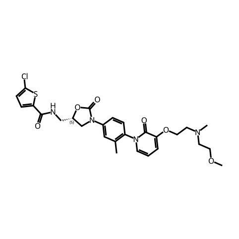 COCCN(C)CCOc1cccn(-c2ccc(N3C[C@H](CNC(=O)c4ccc(Cl)s4)OC3=O)cc2C)c1=O